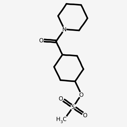 CS(=O)(=O)OC1CCC(C(=O)N2CCCCC2)CC1